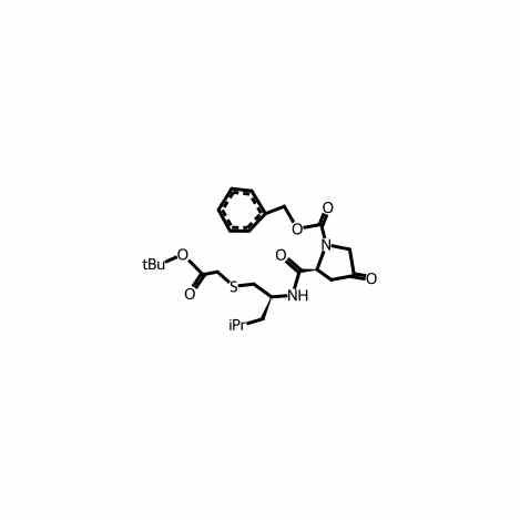 CC(C)C[C@@H](CSCC(=O)OC(C)(C)C)NC(=O)[C@@H]1CC(=O)CN1C(=O)OCc1ccccc1